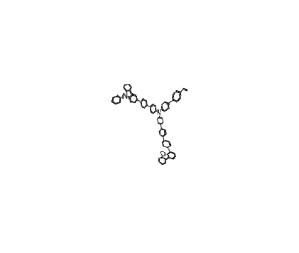 C=Cc1ccc(-c2ccc(N(c3ccc(-c4ccc(-c5ccc(-c6cccc7c6oc6ccccc67)cc5)cc4)cc3)c3ccc(-c4ccc(-c5ccc6c(c5)c5ccccc5n6-c5ccccc5)cc4)cc3)cc2)cc1